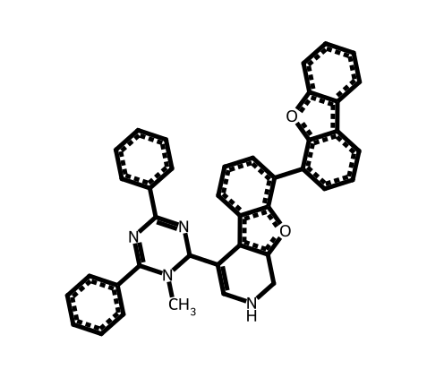 CN1C(c2ccccc2)=NC(c2ccccc2)=NC1C1=CNCc2oc3c(-c4cccc5c4oc4ccccc45)cccc3c21